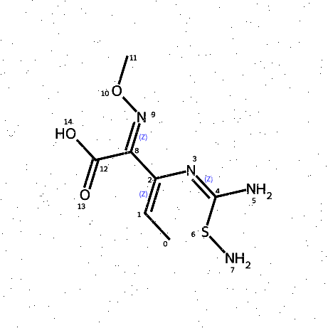 C/C=C(\N=C(\N)SN)C(=N/OC)/C(=O)O